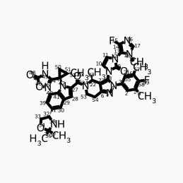 Cc1cc(-n2nc3c(c2-n2ccn(-c4c(F)ncn4C)c2=O)[C@H](C)N(C(=O)c2cc4cc([C@H]5COC(C)(C)N5)ccc4n2[C@@]2(c4noc(=O)[nH]4)C[C@@H]2C)CC3)cc(C)c1F